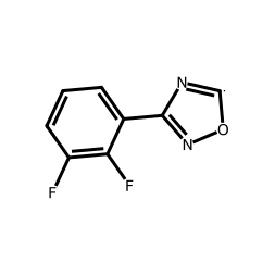 Fc1cccc(-c2n[c]on2)c1F